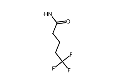 [NH]C(=O)CCCC(F)(F)F